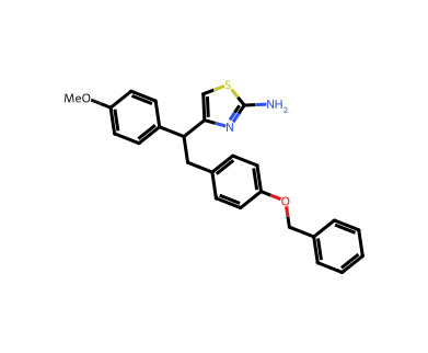 COc1ccc(C(Cc2ccc(OCc3ccccc3)cc2)c2csc(N)n2)cc1